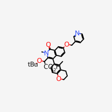 Cc1c(-c2c(C(OC(C)(C)C)C(=O)O)n(C)c(=O)c3cc(OCc4cccnc4)ccc23)ccc2c1CCCO2